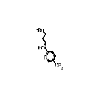 CC(C)(C)CCCNc1ccc(C(F)(F)F)cn1